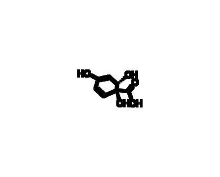 O=C(O)[C@]1(O)C=CC(O)=C[C@@H]1O